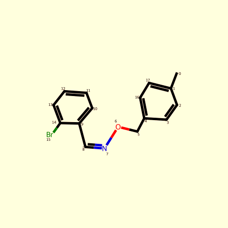 Cc1ccc(CO/N=[C]\c2ccccc2Br)cc1